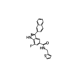 O=C(NCc1cccs1)c1cc(F)c2[nH]nc(-c3ccc4ccccc4c3)c2c1